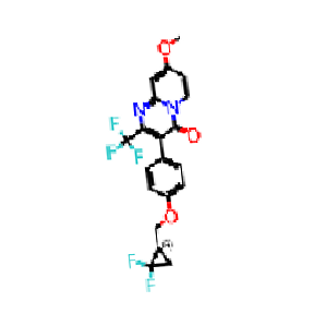 COc1ccn2c(=O)c(-c3ccc(OC[C@H]4CC4(F)F)cc3)c(C(F)(F)F)nc2c1